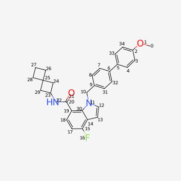 COc1ccc(-c2ccc(Cn3ccc4c(F)ccc(C(=O)NC5CC6(CCC6)C5)c43)cc2)cc1